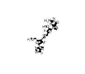 Nc1nc2c(ncn2[C@@H]2OC(CPOC[C@H]3[C@H](F)[C@H](n4cnc5c(=O)[nH]cnc54)O[C@@H]3COP)[C@H](F)[C@H]2OS)c(=O)[nH]1